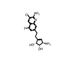 Nc1nc2cc(CCC3=C[C@@H](N)[C@H](O)[C@@H]3O)cc(F)c2cc1Cl